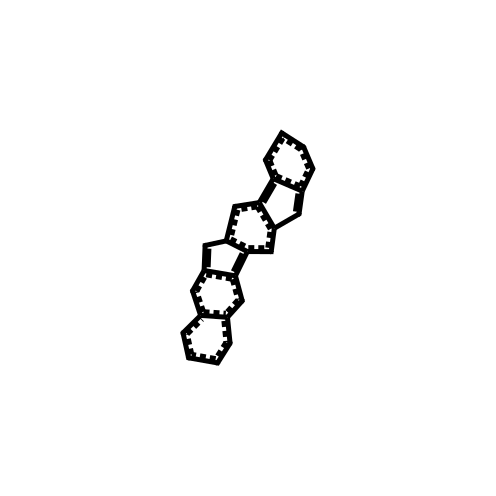 C1=c2ccccc2=c2cc3c(cc21)=c1cc2ccccc2cc1=C3